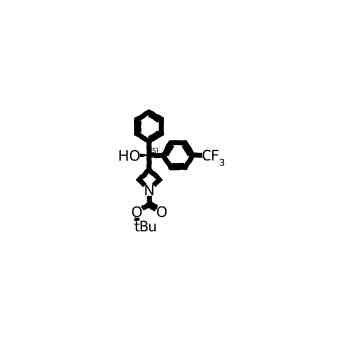 CC(C)(C)OC(=O)N1CC([C@](O)(c2ccccc2)c2ccc(C(F)(F)F)cc2)C1